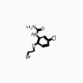 NC(=O)Nc1cc(Cl)ccc1OCCBr